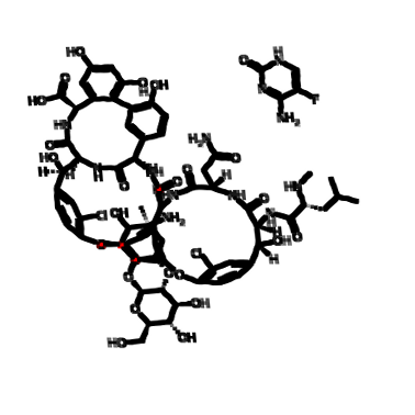 CN[C@H](CC(C)C)C(=O)N[C@H]1C(=O)N[C@@H](CC(N)=O)C(=O)N[C@H]2C(=O)N[C@H]3C(=O)N[C@H](C(=O)N[C@@H](C(=O)O)c4cc(O)cc(O)c4-c4cc3ccc4O)[C@H](O)c3ccc(c(Cl)c3)Oc3cc2cc(c3O[C@@H]2O[C@H](CO)[C@@H](O)[C@H](O)[C@H]2O[C@H]2C[C@](C)(N)C(O)[C@H](C)O2)Oc2ccc(cc2Cl)[C@H]1O.Nc1nc(=O)[nH]cc1F